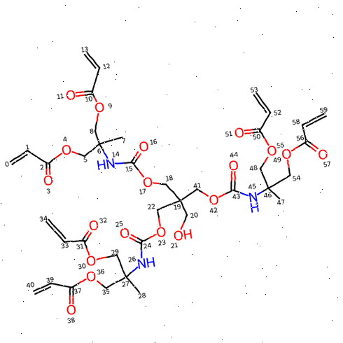 C=CC(=O)OCC(C)(COC(=O)C=C)NC(=O)OCC(CO)(COC(=O)NC(C)(COC(=O)C=C)COC(=O)C=C)COC(=O)NC(C)(COC(=O)C=C)COC(=O)C=C